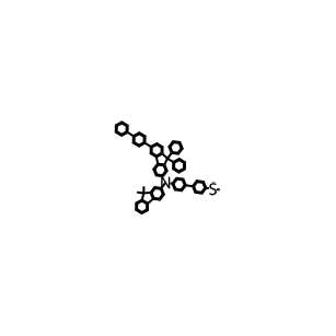 CC1(C)c2ccccc2-c2ccc(N(c3ccc(-c4ccc(S(C)(C)C)cc4)cc3)c3ccc4c(c3)C(c3ccccc3)(c3ccccc3)c3ccc(-c5ccc(-c6ccccc6)cc5)cc3-4)cc21